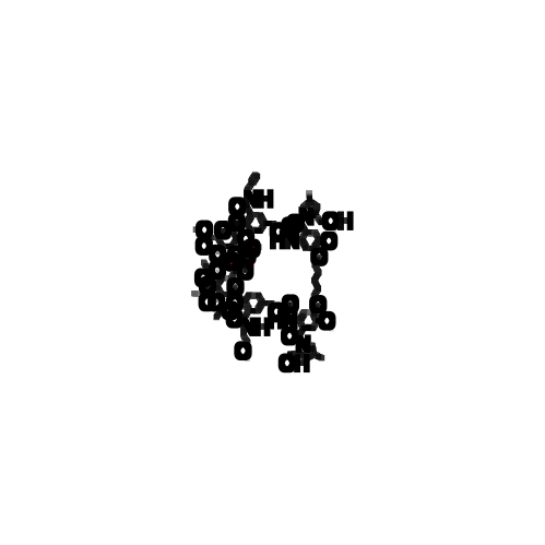 C#CCNC(=O)c1cc(COC(=O)Nc2cc(OCCCCCOc3cc(NC(=O)OCc4ccc(O[C@@H]5O[C@H](C(=O)OC)[C@@H](OC(C)=O)[C@H](OC(C)=O)[C@H]5OC(C)=O)c(C(=O)NCCOC)c4)c(C(=O)N4C=C(C)C[C@H]4CO)cc3OC)c(OC)cc2C(=O)N2C=C(C)C[C@H]2CO)ccc1O[C@@H]1O[C@H](C(=O)OC)[C@@H](OC(C)=O)[C@H](OC(C)=O)[C@H]1OC(C)=O